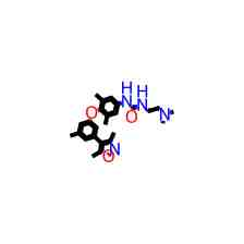 Cc1cc(Oc2c(C)cc(NC(=O)NCCN(C)C)cc2C)cc(-c2c(C)noc2C)c1